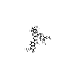 CC(C)C[C@H](CO)Nc1nc(CC(C)c2ccc3c(c2)oc(=O)n3C)nc(NS(C)(=O)=O)n1